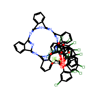 [F][Cu]([F])([F])([F])([F])([F])([F])([F])([O]c1cc(Cl)ccc1Cl)([O]c1cc(Cl)ccc1Cl)([O]c1cc(Cl)ccc1Cl)([O]c1cc(Cl)ccc1Cl)([O]c1cc(Cl)ccc1Cl)([O]c1cc(Cl)ccc1Cl)([O]c1cc(Cl)ccc1Cl)([O]c1cc(Cl)ccc1Cl)[c]1cccc2c3nc4nc(nc5[nH]c(nc6nc(nc([nH]3)c12)-c1ccccc1-6)c1ccccc51)-c1ccccc1-4